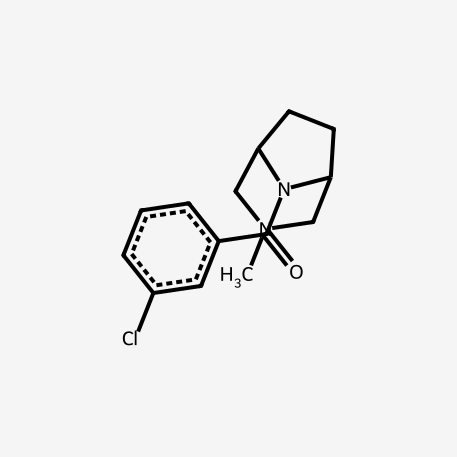 CN1CC2CCC(C1)N2C(=O)c1cccc(Cl)c1